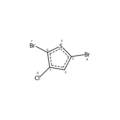 Clc1cc(Br)sc1Br